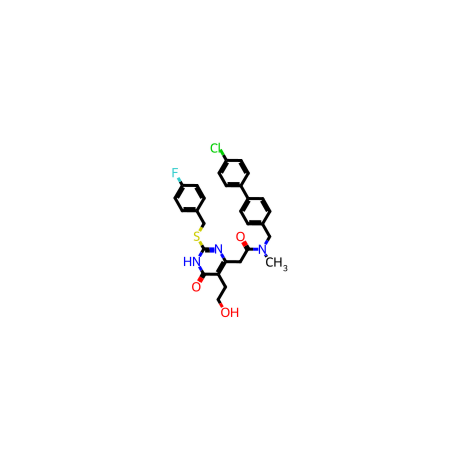 CN(Cc1ccc(-c2ccc(Cl)cc2)cc1)C(=O)Cc1nc(SCc2ccc(F)cc2)[nH]c(=O)c1CCO